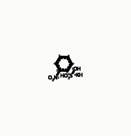 O=S(=O)(O)O.O=[N+]([O-])c1ccccc1.[KH]